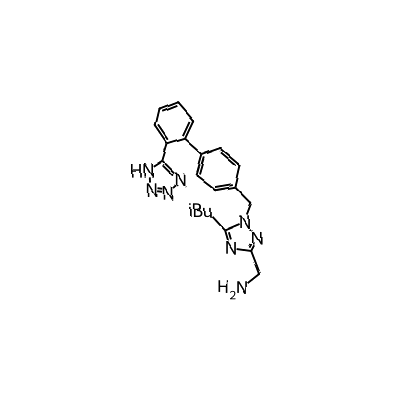 CCC(C)c1nc(CN)nn1Cc1ccc(-c2ccccc2-c2nnn[nH]2)cc1